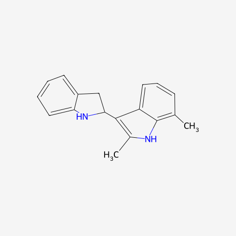 Cc1[nH]c2c(C)cccc2c1C1Cc2ccccc2N1